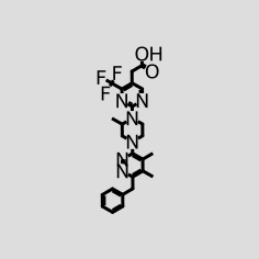 Cc1c(Cc2ccccc2)nnc(N2CCN(c3ncc(CC(=O)O)c(C(F)(F)F)n3)C(C)C2)c1C